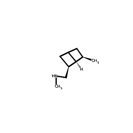 CNC[C@H]1CC2C[C@@H](C)[C@H]21